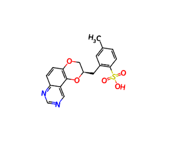 Cc1ccc(S(=O)(=O)O)c(C[C@@H]2COc3ccc4ncncc4c3O2)c1